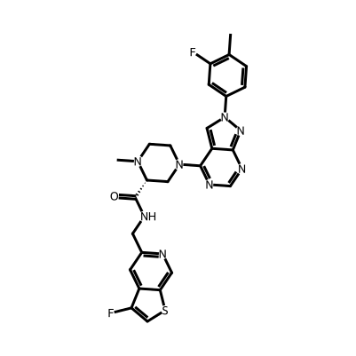 Cc1ccc(-n2cc3c(N4CCN(C)[C@@H](C(=O)NCc5cc6c(F)csc6cn5)C4)ncnc3n2)cc1F